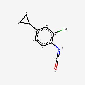 O=C=Nc1ccc(C2CC2)cc1F